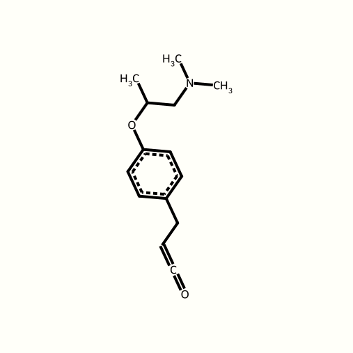 CC(CN(C)C)Oc1ccc(CC=C=O)cc1